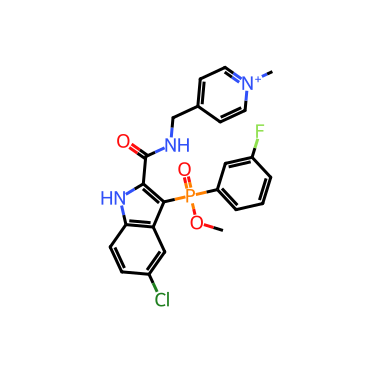 COP(=O)(c1cccc(F)c1)c1c(C(=O)NCc2cc[n+](C)cc2)[nH]c2ccc(Cl)cc12